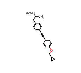 CC(=O)NC(C)Cc1ccc(C#Cc2ccc(OCC3CC3)cc2)cc1